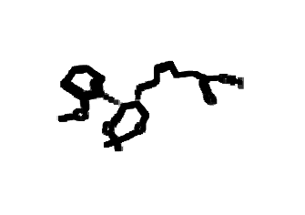 COc1ccccc1[C@H]1OC(C)(C)OC[C@H]1CC/C=C\CCC(=O)O